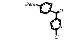 CCCC(C)c1ccc(C(=O)c2ccc(Cl)nc2)cc1